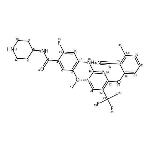 COc1cc(C(=O)NC2CCNCC2)c(F)cc1Nc1ncc(C(F)(F)F)c(Oc2cccc(C)c2C#N)n1